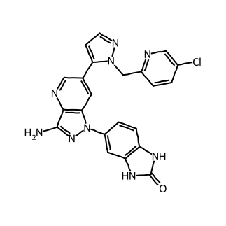 Nc1nn(-c2ccc3[nH]c(=O)[nH]c3c2)c2cc(-c3ccnn3Cc3ccc(Cl)cn3)cnc12